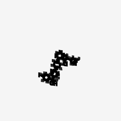 Cn1cc(-c2cn3ncnc(N4CCN(c5ncc(C(C)(O)c6ccc(F)cc6)cn5)CC4)c3c2Cl)cn1